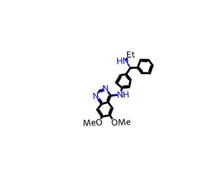 CCN[C@@H](c1ccccc1)c1ccc(Nc2ncnc3cc(OC)c(OC)cc23)cc1